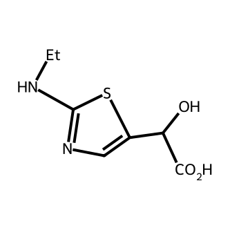 CCNc1ncc(C(O)C(=O)O)s1